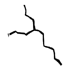 CCCCCC(CCC)CCF